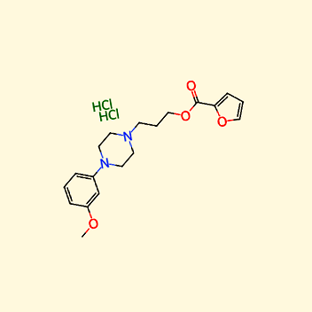 COc1cccc(N2CCN(CCCOC(=O)c3ccco3)CC2)c1.Cl.Cl